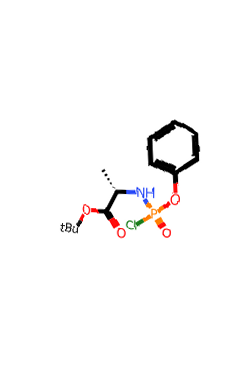 C[C@H](NP(=O)(Cl)Oc1ccccc1)C(=O)OC(C)(C)C